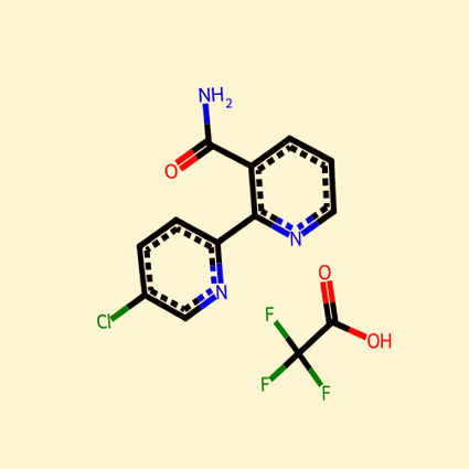 NC(=O)c1cccnc1-c1ccc(Cl)cn1.O=C(O)C(F)(F)F